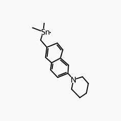 [CH3][Sn]([CH3])([CH3])[CH2]c1ccc2cc(N3CCCCC3)ccc2c1